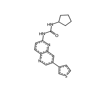 O=C(Nc1ccc2ncc(-c3ccsc3)cc2n1)NC1CCCC1